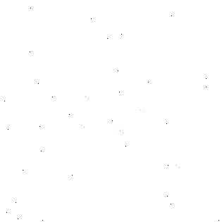 CCOC(=O)n1c(C2CCNCC2)nc(-c2cccc(F)c2)c1-c1nc2ccccc2[nH]1